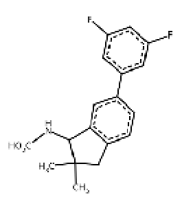 CC1(C)Cc2ccc(-c3cc(F)cc(F)c3)cc2C1NC(=O)O